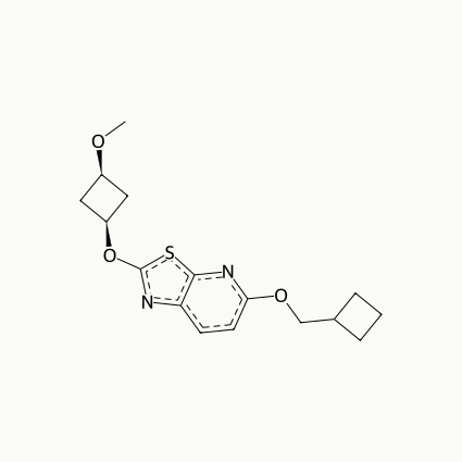 CO[C@H]1C[C@@H](Oc2nc3ccc(OCC4CCC4)nc3s2)C1